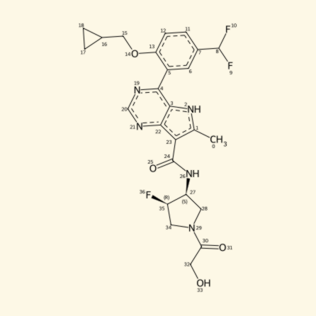 Cc1[nH]c2c(-c3cc(C(F)F)ccc3OCC3CC3)ncnc2c1C(=O)N[C@H]1CN(C(=O)CO)C[C@H]1F